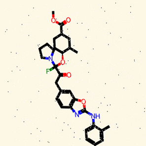 COC(=O)C1CC[C@H](OC(F)(C(=O)Cc2ccc3nc(Nc4ccccc4C)oc3c2)N2CCCC2)C(C)C1